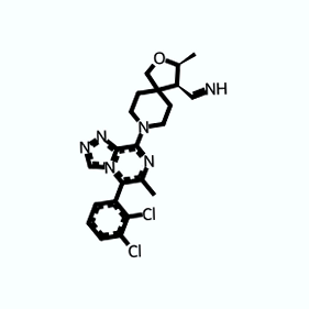 Cc1nc(N2CCC3(CC2)CO[C@@H](C)[C@H]3C=N)c2nncn2c1-c1cccc(Cl)c1Cl